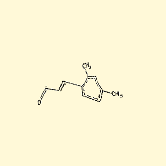 Cc1ccc(C=C[C]=O)c(C)c1